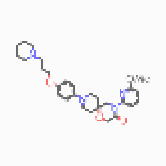 COc1cccc(N2CC3(CCN(c4ccc(OCCCN5CCCCC5)cc4)CC3)OCC2=O)n1